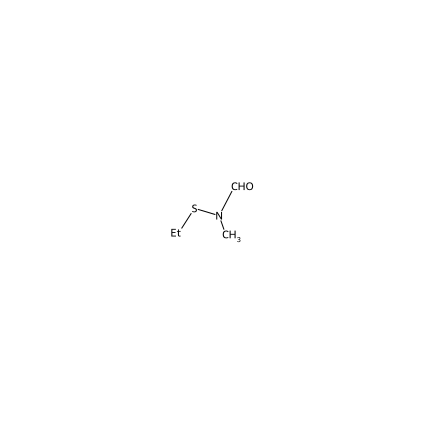 CCSN(C)C=O